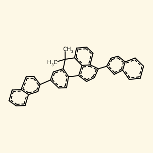 CC1(C)c2cc(-c3ccc4ccccc4c3)ccc2-c2ccc(-c3ccc4ccccc4c3)c3cccc1c23